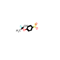 CC(C)(F)Oc1ccc([SH](=O)=O)cc1